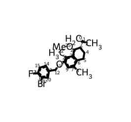 C=C(C)[C@@H]1CCc2c(C)cc(OCc3ccc(F)c(Br)c3)c(C)c2[C@@H]1OC